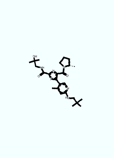 Cc1cc(NCC(C)(C)C)ncc1-c1sc(C(=O)NCC(C)(C)O)nc1C(=O)N1CCC[C@@H]1C